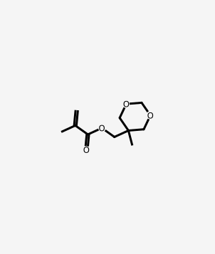 C=C(C)C(=O)OCC1(C)COCOC1